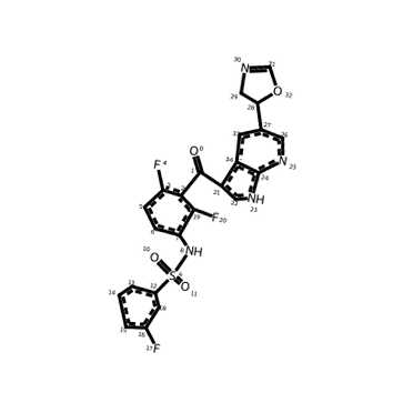 O=C(c1c(F)ccc(NS(=O)(=O)c2cccc(F)c2)c1F)c1c[nH]c2ncc(C3CN=CO3)cc12